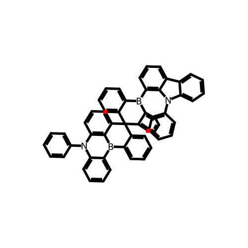 c1ccc(N2c3ccccc3B3c4ccccc4C4(c5ccccc5B(c5cccc6c7ccccc7n(-c7ccccc7)c56)c5ccccc54)c4cccc2c43)cc1